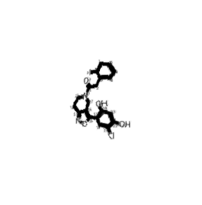 O=C(Cc1ccccc1I)N1CCc2noc(-c3cc(Cl)c(O)cc3O)c2C1